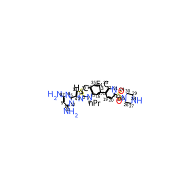 CCCN(c1nc(-c2nc(N)cc(N)n2)cs1)c1cc(-c2ccc(S(=O)(=O)N3CCNCC3)nc2C(F)(F)F)ccc1C